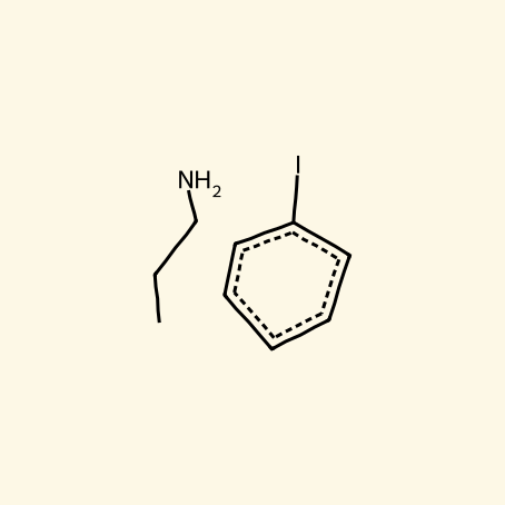 CCCN.Ic1ccccc1